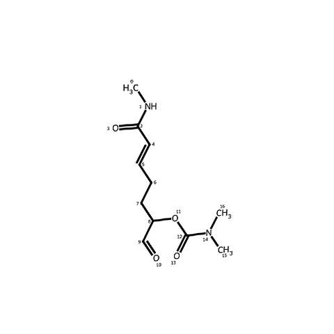 CNC(=O)C=CCCC(C=O)OC(=O)N(C)C